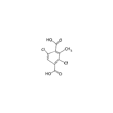 Cc1c(Cl)c(C(=O)O)cc(Cl)c1C(=O)O